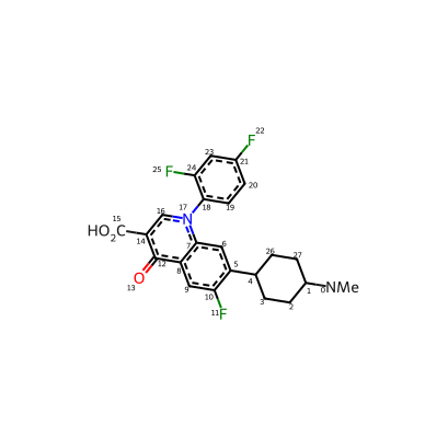 CNC1CCC(c2cc3c(cc2F)c(=O)c(C(=O)O)cn3-c2ccc(F)cc2F)CC1